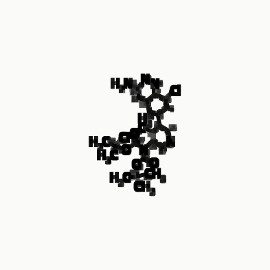 Cc1c(-c2cc(Cl)c3nnc(N)cc3c2)cncc1N(C(=O)OC(C)(C)C)C(=O)OC(C)(C)C